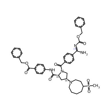 CS(=O)(=O)C1CCCCN([C@H]2C[C@@H](C(=O)Nc3ccc(C(=O)OCc4ccccc4)cc3)N(C(=O)c3ccc(/C(N)=N/C(=O)OCc4ccccc4)cc3)C2)CC1